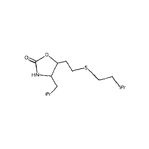 CC(C)CCSCCC1OC(=O)NC1CC(C)C